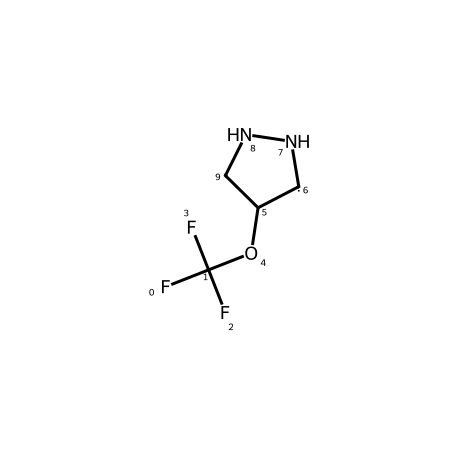 FC(F)(F)OC1[CH]NNC1